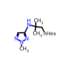 CCCCCCCC(C)(C)Nc1cnn(C)n1